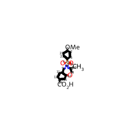 COc1ccc(S(=O)(=O)N2Cc3ccc(C(=O)O)cc3OC[C@@H]2C)cc1